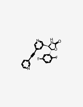 O=C1N[C@H](c2cncc(C#Cc3cccnc3)c2)[C@@H](c2cc(F)ccc2F)O1